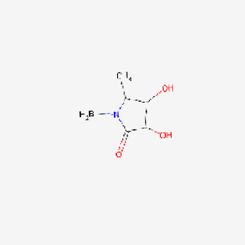 BN1C(=O)C(O)C(O)C1C